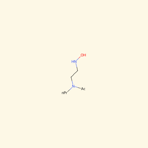 CCCN(CCNO)C(C)=O